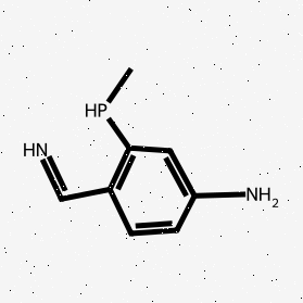 CPc1cc(N)ccc1C=N